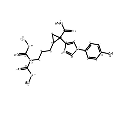 COC(=O)C1(c2cn(-c3ccc(O)cc3)cn2)CC1CCCN(C(=O)OC(C)(C)C)C(=O)OC(C)(C)C